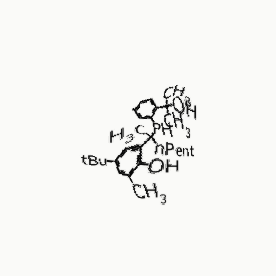 CCCCCC(C)(Pc1ccccc1C(C)(C)O)c1cc(C(C)(C)C)cc(C)c1O